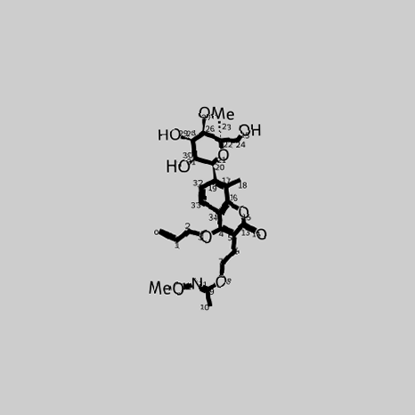 C=CCOc1c(CCOC(C)=NOC)c(=O)oc2c(C)c([C@@H]3O[C@](C)(CO)[C@H](OC)[C@H](O)[C@H]3O)ccc12